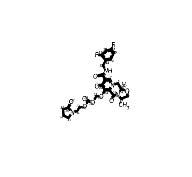 C[C@H]1CO[C@@H]2Cn3cc(C(=O)NCc4ccc(F)cc4F)c(=O)c(OCOC(=O)OCCN4CCCC4=O)c3C(=O)N12